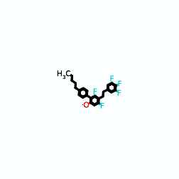 CCCCCc1ccc(-c2c([O])cc(F)c(CCc3cc(F)c(F)c(F)c3)c2F)cc1